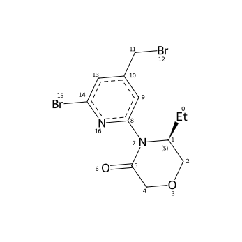 CC[C@H]1COCC(=O)N1c1cc(CBr)cc(Br)n1